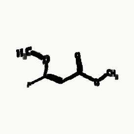 COC(=O)/C=C(/F)OC